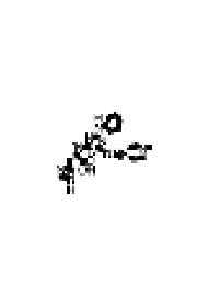 CN1CCN(CCNc2nc(NC3CCCCC3)nc(N(C)[C@@H](Cc3c[nH]cn3)C(=O)O)n2)CC1